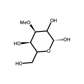 CO[C@H]1C(O)[C@H](O)OC(CO)[C@H]1O